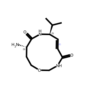 CC(C)[C@H]1/C=C/C(=O)NCOCC[C@H](N)C(=O)N1